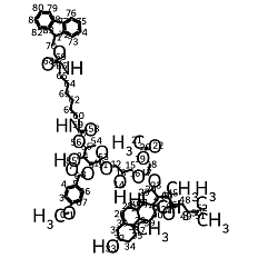 COc1ccc(C(=O)OC2C(OCC(O)COC(COC(C)=O)OC3C[C@H]4C5CC=C6CC(O)CCC6(C)C5CCC4(C)C3[C@H](C)C(=O)CCC(C)C)OCC(OC(=O)NCCCCCCNC(=O)OCC3c4ccccc4-c4ccccc43)C2O)cc1